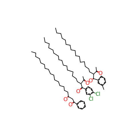 CCCCCCCCCCCCCCCCC(=O)CC(=O)c1ccccc1.CCCCCCCCCCCCCCCCC(C(C)=O)C(=O)c1ccc(Cl)c(Cl)c1.CCCCCCCCCCCCCCCCC(C(C)=O)C(=O)c1cccc(C)c1